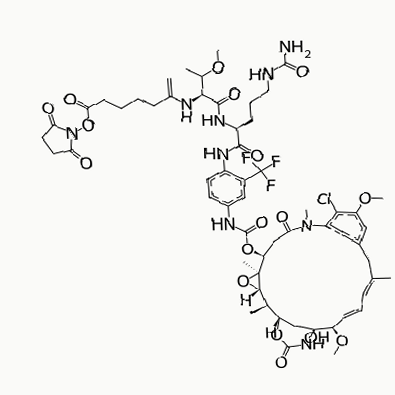 C=C(CCCCC(=O)ON1C(=O)CCC1=O)N[C@H](C(=O)N[C@@H](CCCNC(N)=O)C(=O)Nc1ccc(NC(=O)O[C@H]2CC(=O)N(C)c3cc(cc(OC)c3Cl)C/C(C)=C/C=C/[C@@H](OC)[C@@]3(O)C[C@H](OC(=O)N3)[C@@H](C)[C@@H]3O[C@@]23C)cc1C(F)(F)F)C(C)OC